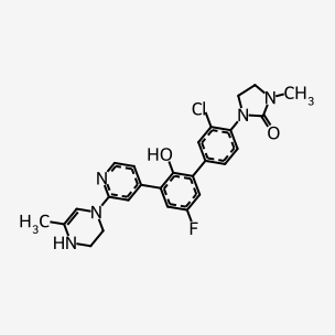 CC1=CN(c2cc(-c3cc(F)cc(-c4ccc(N5CCN(C)C5=O)c(Cl)c4)c3O)ccn2)CCN1